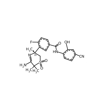 CC1(C)C(N)=N[C@](C)(c2cc(C(=O)Nc3ccc(C#N)cc3O)ccc2F)CS1(=O)=O